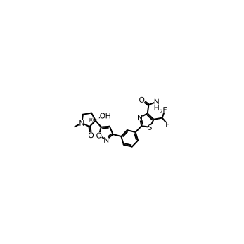 CN1CC[C@@](O)(c2cc(-c3cccc(-c4nc(C(N)=O)c(C(F)F)s4)c3)no2)C1=O